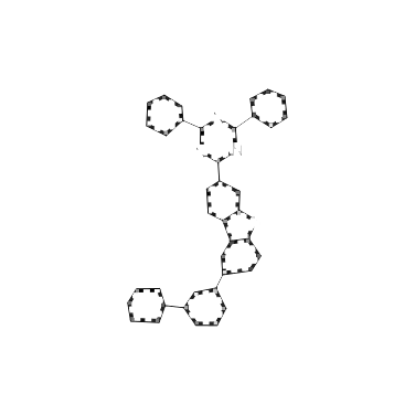 c1ccc(-c2cccc(-c3ccc4sc5cc(-c6nc(-c7ccccc7)nc(-c7ccccc7)n6)ccc5c4c3)c2)cc1